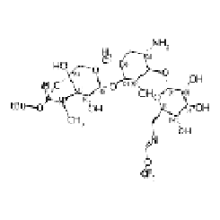 C[C@@H]1C[C@H](N)C(O[C@H]2O[C@H](CN=COC(F)(F)F)[C@@H](O)[C@H](O)[C@H]2O)[C@H](O)[C@H]1O[C@H]1OC[C@](C)(O)[C@H](N(C)C(=O)OC(C)(C)C)[C@H]1O